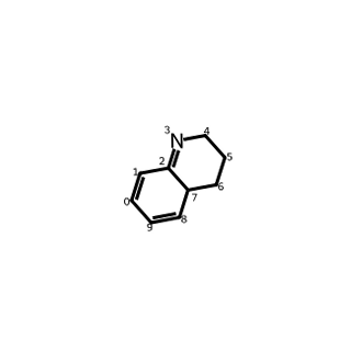 C1=CC2=NCCCC2C=C1